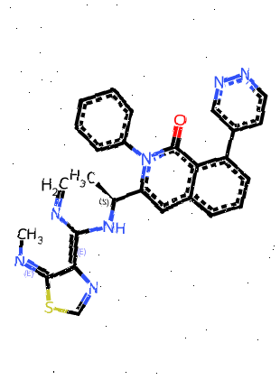 C=N/C(N[C@@H](C)c1cc2cccc(-c3ccnnc3)c2c(=O)n1-c1ccccc1)=C1/N=CS/C1=N/C